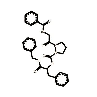 O=C(NCC(=O)N1CCCN1C(=O)OC(Cc1ccccc1)C(=O)OCc1ccccc1)c1ccccc1